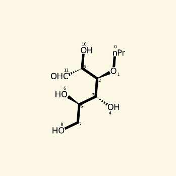 CCCO[C@@H]([C@H](O)[C@H](O)CO)[C@@H](O)C=O